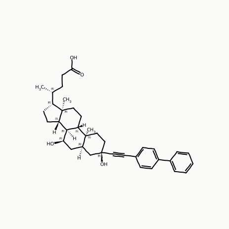 C[C@H](CCC(=O)O)[C@H]1CC[C@H]2[C@@H]3[C@H](O)C[C@@H]4C[C@@](O)(C#Cc5ccc(-c6ccccc6)cc5)CC[C@]4(C)[C@H]3CC[C@]12C